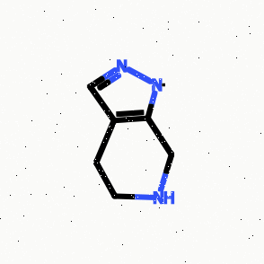 C1=N[N]C2=C1CCNC2